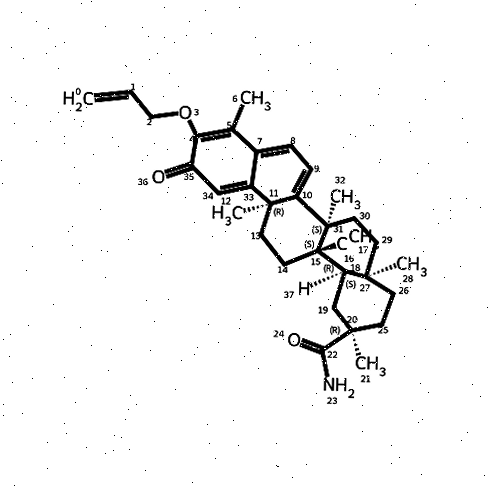 C=CCOC1=C(C)C2=CC=C3[C@@](C)(CC[C@@]4(CC)[C@@H]5C[C@](C)(C(N)=O)CC[C@]5(C)CC[C@]34C)C2=CC1=O